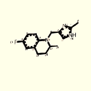 Cc1nc(CN2c3ccc(F)cc3CCC2C)c[nH]1